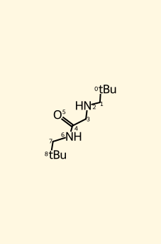 CC(C)(C)CNCC(=O)NCC(C)(C)C